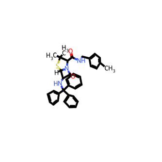 Cc1ccc(CNC(=O)C2N3C(=O)C(NC(c4ccccc4)(c4ccccc4)c4ccccc4)[C@@H]3SC2(C)C)cc1